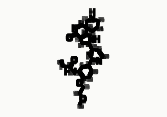 C=CC(=O)Nc1cc(-c2nccc(-c3cc4c([nH]3)C3(C=NC4=O)CCCNC3)n2)ccc1OCCOC